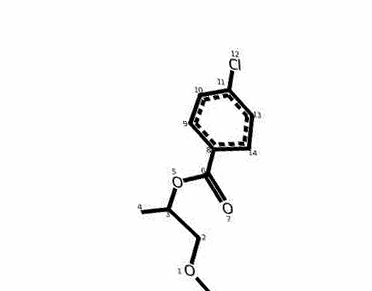 COCC(C)OC(=O)c1ccc(Cl)cc1